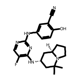 CC1(C)C[C@H](Nc2nc(Nc3ccc(O)c(C#N)c3)ncc2F)C[C@H]2CCCN21